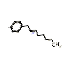 CCCCC/C=C/Cc1cc[c]cc1